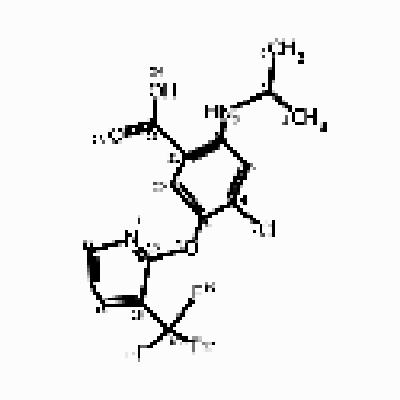 CC(C)Nc1cc(Cl)c(Oc2ncccc2C(F)(F)F)cc1C(=O)O